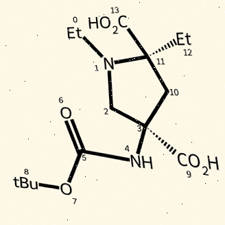 CCN1C[C@@](NC(=O)OC(C)(C)C)(C(=O)O)C[C@]1(CC)C(=O)O